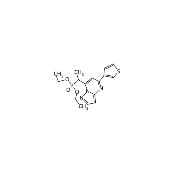 CCOP(=O)(OCC)C(C)c1cc(-c2ccsc2)nc2ccnn12